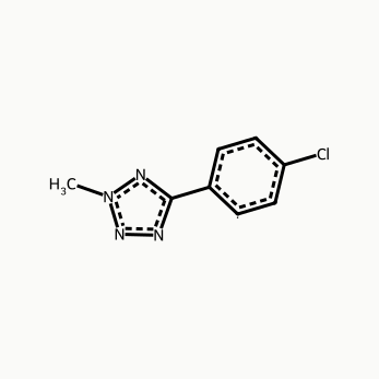 Cn1nnc(-c2[c]cc(Cl)cc2)n1